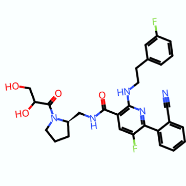 N#Cc1ccccc1-c1nc(NCCc2cccc(F)c2)c(C(=O)NC[C@H]2CCCN2C(=O)C(O)CO)cc1F